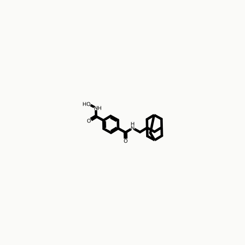 O=C(NO)c1ccc(C(=O)NCC23CC4CC(CC(C4)C2)C3)cc1